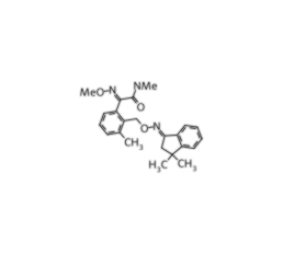 CNC(=O)/C(=N/OC)c1cccc(C)c1CO/N=C1\CC(C)(C)c2ccccc21